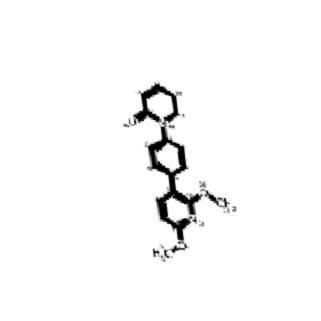 COc1ccc(-c2ccc(N3CCC=CC3=O)cc2)c(OC)n1